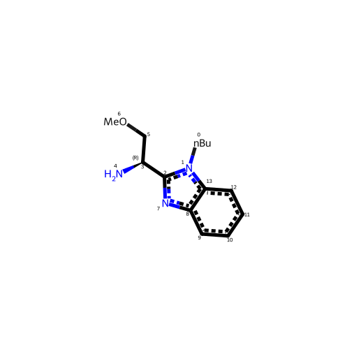 CCCCn1c([C@@H](N)COC)nc2ccccc21